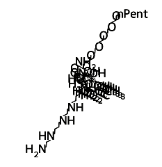 CC(=O)O.CC(=O)O.CC(=O)O.CC(=O)O.CCCCCOCCOCCOCCOCCOCCOC(C(N)=O)N(C(=O)CC)[C@]1(O)[C@H](O)[C@@H](CO)O[C@@](S)(NCCCCCNCCCNCCCCNCCCN)[C@H]1O